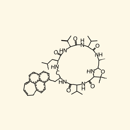 CC(C)CC1NCC(Cc2ccc3ccc4c5c(ccc2c35)CC=CC=4)NC(=O)C(C(C)C)NC(=O)C2NC(OC2(C)C)C(C)NC(=O)C(C(C)C)NC(=O)C(C(C)C)NC1=O